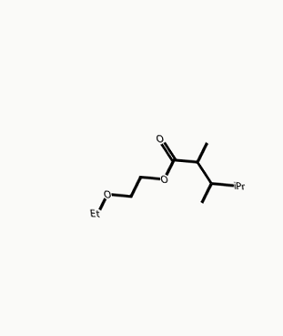 CCOCCOC(=O)C(C)C(C)C(C)C